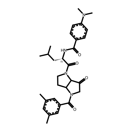 Cc1cc(C)cc(C(=O)N2CC(=O)C3C2CCN3C(=O)[C@H](CC(C)C)NC(=O)c2ccc(N(C)C)cc2)c1